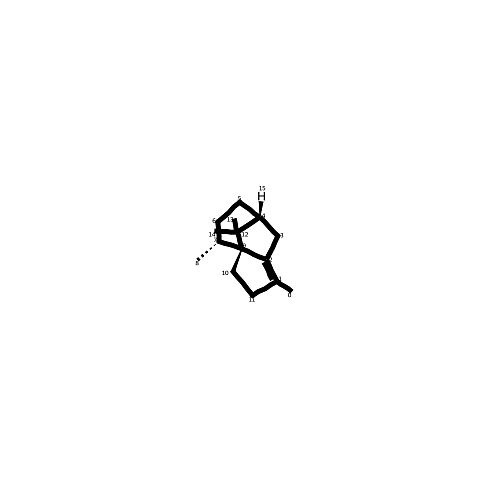 CC1=C2C[C@H]3CC[C@@H](C)[C@]2(CC1)C3(C)C